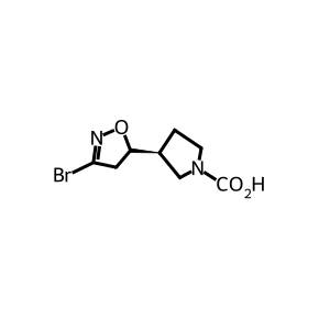 O=C(O)N1CC[C@H](C2CC(Br)=NO2)C1